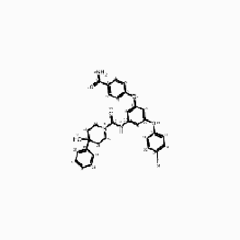 NC(=O)c1ccc(Oc2cc(NC(=O)N3CCC(O)(c4ccccc4)CC3)cc(Oc3ccc(F)cc3)c2)cc1